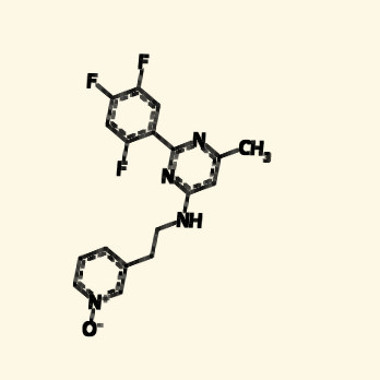 Cc1cc(NCCc2ccc[n+]([O-])c2)nc(-c2cc(F)c(F)cc2F)n1